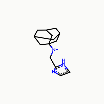 c1c[nH]c(CNC23CC4CC(CC(C4)C2)C3)n1